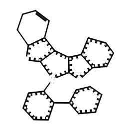 C1=Cc2c(sc3c2c2c4ccccc4sc2n3-c2ccccc2-c2ccccc2)CC1